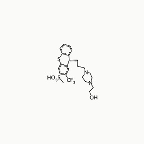 CS(=O)(=O)O.OCCN1CCN(CCC=C2c3ccccc3Sc3ccc(C(F)(F)F)cc32)CC1